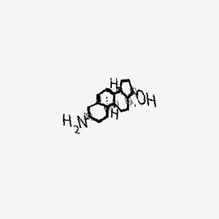 C[C@]12CC[C@H]3C(=CC=C4C[C@@H](N)CC[C@@]43C)[C@@H]1CC[C@@H]2O